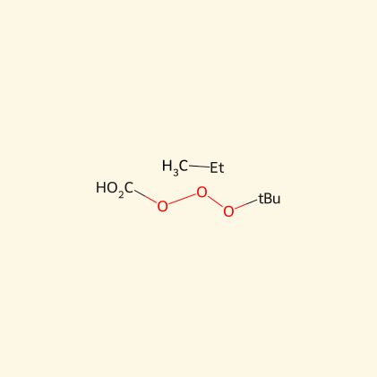 CC(C)(C)OOOC(=O)O.CCC